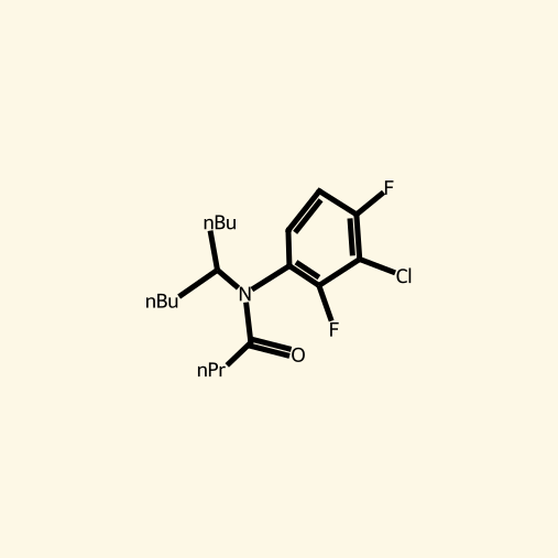 CCCCC(CCCC)N(C(=O)CCC)c1ccc(F)c(Cl)c1F